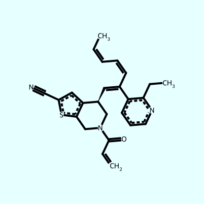 C=CC(=O)N1Cc2sc(C#N)cc2[C@@H](/C=C(/C=C\C=C/C)c2cccnc2CC)C1